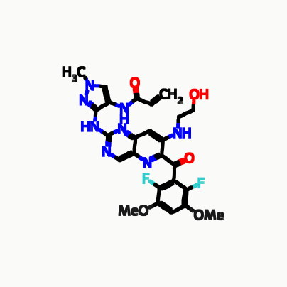 C=CC(=O)Nc1cn(C)nc1Nc1ncc2nc(C(=O)c3c(F)c(OC)cc(OC)c3F)c(NCCO)cc2n1